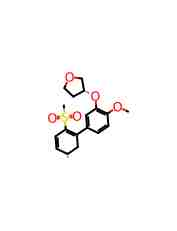 COc1ccc(C2=C(S(C)(=O)=O)C=C[CH]C2)cc1O[C@@H]1CCOC1